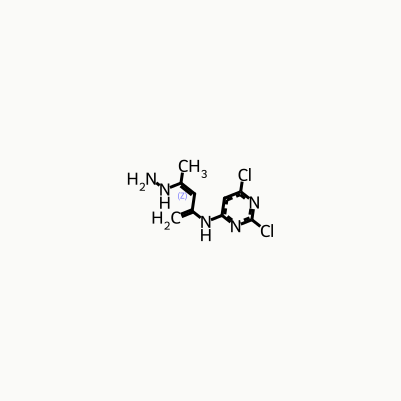 C=C(/C=C(/C)NN)Nc1cc(Cl)nc(Cl)n1